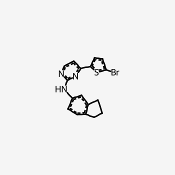 Brc1ccc(-c2ccnc(Nc3ccc4c(c3)CCC4)n2)s1